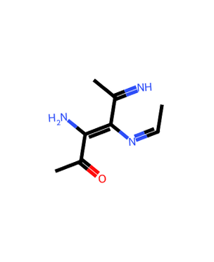 C/C=N\C(C(C)=N)=C(\N)C(C)=O